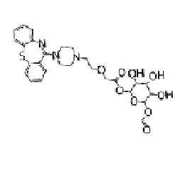 O=COC1OC(OC(=O)COCCN2CCN(C3=Nc4ccccc4Sc4ccccc43)CC2)C(O)C(O)C1O